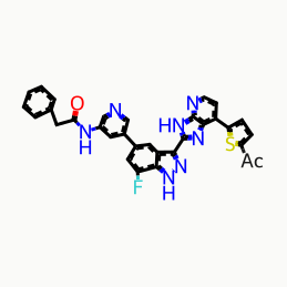 CC(=O)c1ccc(-c2ccnc3[nH]c(-c4n[nH]c5c(F)cc(-c6cncc(NC(=O)Cc7ccccc7)c6)cc45)nc23)s1